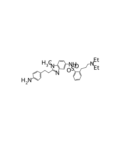 CCN(CC)CCCc1ccccc1S(=O)(=O)Nc1ccc2c(c1)nc(CCc1ccc(N)cc1)n2C